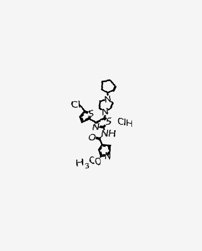 COc1cc(C(=O)Nc2nc(-c3ccc(Cl)s3)c(N3CCN(C4CCCCC4)CC3)s2)ccn1.Cl